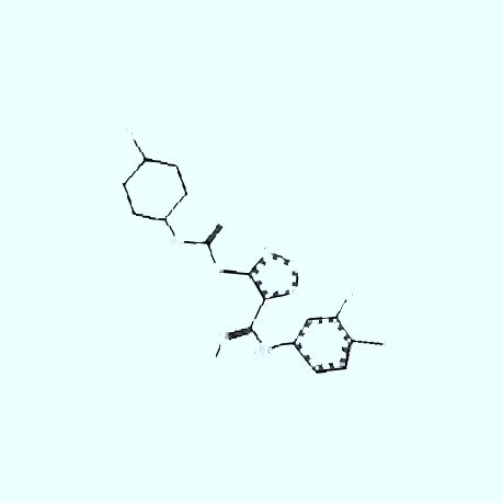 N=C(Nc1nonc1/C(=N/O)Nc1ccc(F)c(Br)c1)NC1CCC(N)CC1